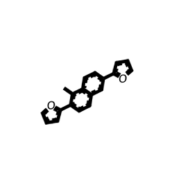 Cc1c(-c2ccco2)ccc2cc(-c3ccco3)ccc12